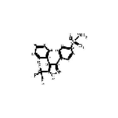 NS(=O)(=O)c1ccc(-c2noc(C(F)(F)F)c2-c2ccccc2)cc1